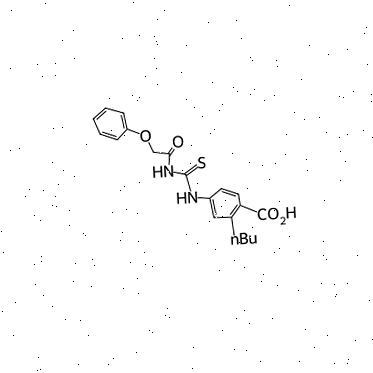 CCCCc1cc(NC(=S)NC(=O)COc2ccccc2)ccc1C(=O)O